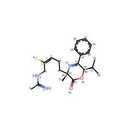 CC(=N)NC/C(F)=C\CC[C@]1(C)N=C(c2ccccc2)[C@@H](C(C)C)OC1=O